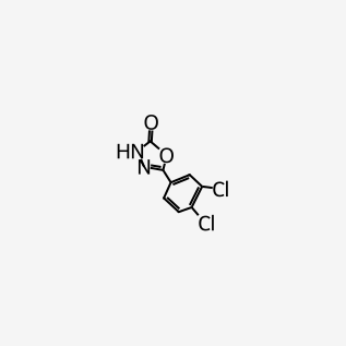 O=c1[nH]nc(-c2ccc(Cl)c(Cl)c2)o1